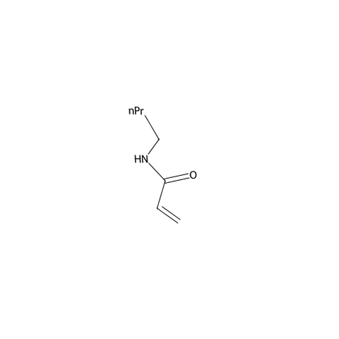 [CH2]CCCNC(=O)C=C